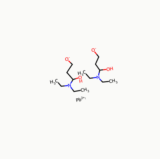 CCN(CC)C(O)CC[O-].CCN(CC)C(O)CC[O-].[Pb+2]